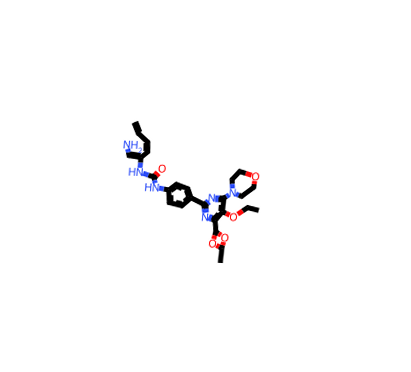 C=C/C=C\C(=C/N)NC(=O)Nc1ccc(-c2nc(C3OC(C)O3)c(OCC)c(N3CCOCC3)n2)cc1